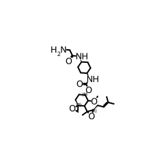 COC1C(C2(C)O[C@@H]2CC=C(C)C)[C@]2(CC[C@@H]1OC(=O)N[C@H]1CC[C@H](NC(=O)CN)CC1)CO2